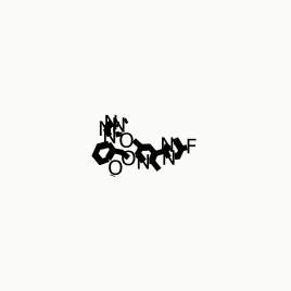 COc1cccc(-n2nnn(C)c2=O)c1COc1nc(C)c(-c2ncc(F)cn2)cc1C